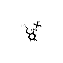 Cc1ccc(CCO)c(SSC(C)(C)C)c1